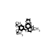 COc1ccc(C[C@]23CCN(C)[C@H]2CC2(CC3)SCCS2)cc1OC